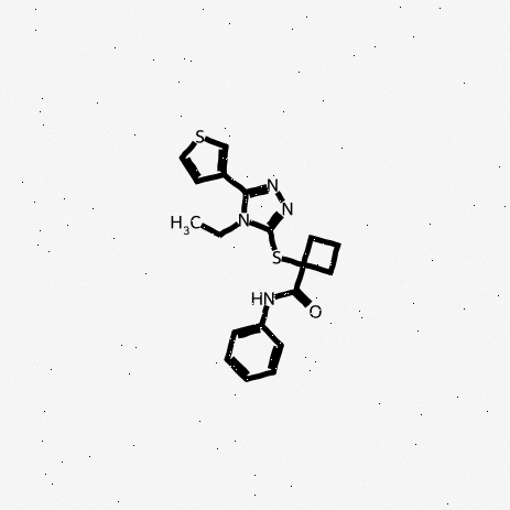 CCn1c(SC2(C(=O)Nc3ccccc3)CCC2)nnc1-c1ccsc1